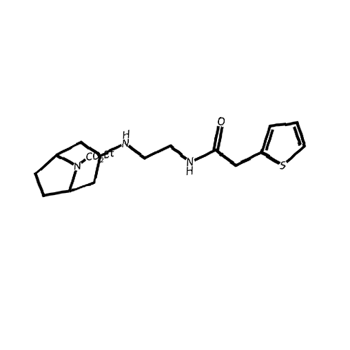 CCOC(=O)N1C2CCC1CC(NCCNC(=O)Cc1cccs1)C2